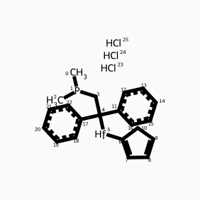 CP(C)C[C]([Hf][C]1=CC=CC1)(c1ccccc1)c1ccccc1.Cl.Cl.Cl